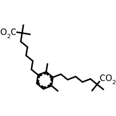 Cc1ccc(CCCCCC(C)(C)C(=O)O)c(C)c1CCCCCC(C)(C)C(=O)O